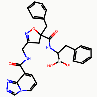 O=C(NCC1=NOC(Cc2ccccc2)(C(=O)NC(Cc2ccccc2)B(O)O)C1)c1cccn2cnnc12